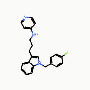 Fc1ccc(Cn2cc(CCCNc3ccncc3)c3ccccc32)cc1